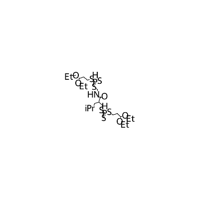 CCOC(CCS[PH](=S)SCNC(=O)C(CS[PH](=S)SCCC(OCC)OCC)CC(C)C)OCC